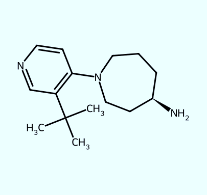 CC(C)(C)c1cnccc1N1CCC[C@@H](N)CC1